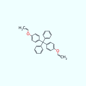 C=COc1ccc(C(c2ccccc2)(c2ccccc2)c2ccc(OC=C)cc2)cc1